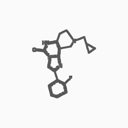 O=c1[nH]c2c(c3nc(-c4ccccc4F)cn13)CN(CC1CC1)CC2